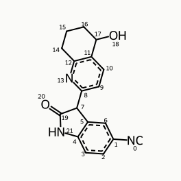 [C-]#[N+]c1ccc2c(c1)C(c1ccc3c(n1)CCCC3O)C(=O)N2